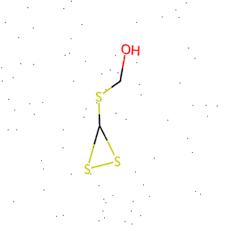 OCSC1SS1